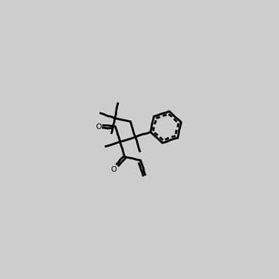 C=CC(=O)C(C)(C=O)C(C)(CC(C)(C)C)c1ccccc1